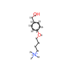 C[N+](C)(C)CCCCOc1ccc(CO)cc1